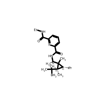 BC(C)(C)[C@]1(C)[C@@H](C(C)C)C1(C)[C@@H](C)NC(=O)c1cccc(C(=O)NCC)n1